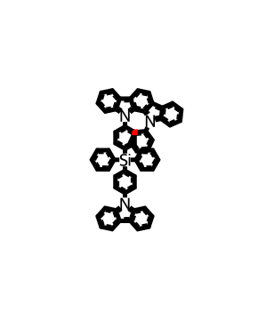 c1ccc(-n2c3ccccc3c3ccc4c5ccccc5n(-c5ccc([Si](c6ccccc6)(c6ccccc6)c6ccc(-n7c8ccccc8c8ccccc87)cc6)cc5)c4c32)cc1